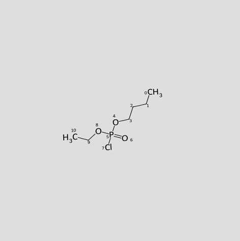 CCCCOP(=O)(Cl)OCC